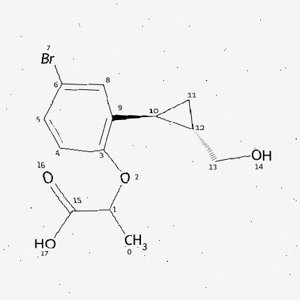 CC(Oc1ccc(Br)cc1[C@H]1C[C@@H]1CO)C(=O)O